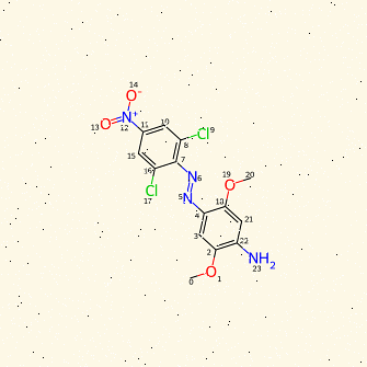 COc1cc(N=Nc2c(Cl)cc([N+](=O)[O-])cc2Cl)c(OC)cc1N